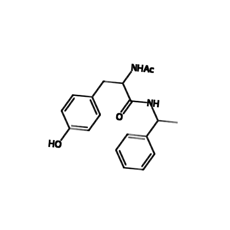 CC(=O)NC(Cc1ccc(O)cc1)C(=O)NC(C)c1ccccc1